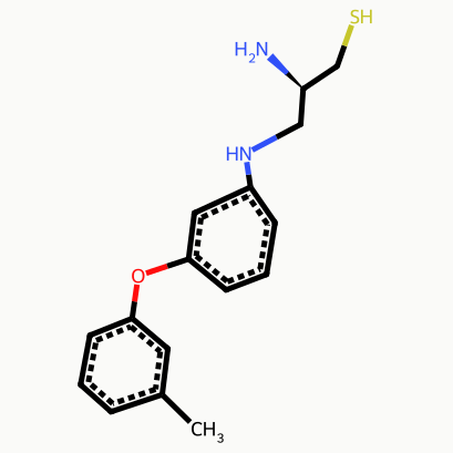 Cc1cccc(Oc2cccc(NC[C@@H](N)CS)c2)c1